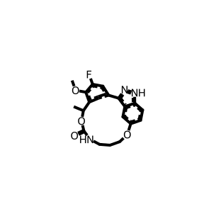 COc1c(F)cc2cc1C(C)OC(=O)NCCCOc1ccc3[nH]nc-2c3c1